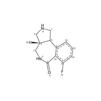 O=C1NC[C@@H]2CNCC2c2cccc(F)c21